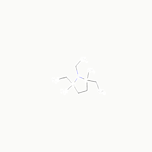 CCN1[Si](C)(CC)CC[Si]1(C)CC